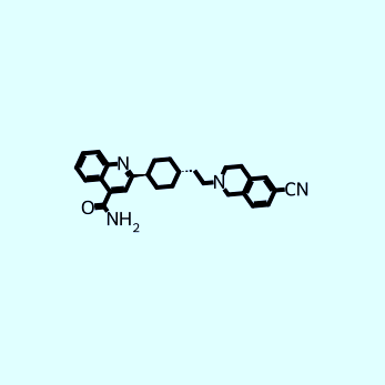 N#Cc1ccc2c(c1)CCN(CC[C@H]1CC[C@H](c3cc(C(N)=O)c4ccccc4n3)CC1)C2